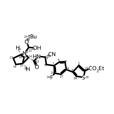 CCOC(=O)c1cc(-c2ccc(C[C@@H](C#N)NC(=O)[C@@H]3[C@H]4CC[C@H](C4)N3C(O)OC(C)(C)C)c(F)c2)cs1